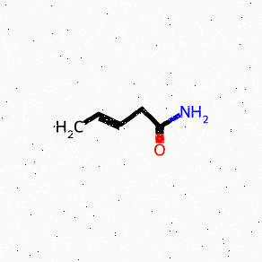 [CH2]/C=C/CC(N)=O